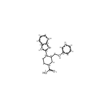 O=C(O)N1CCN(c2nc3ncccc3o2)C(COc2cccnc2)C1